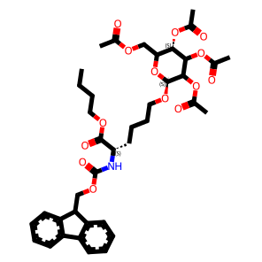 CCCCOC(=O)[C@H](CCCCO[C@H]1OC(COC(C)=O)[C@H](OC(C)=O)C(OC(C)=O)C1OC(C)=O)NC(=O)OCC1c2ccccc2-c2ccccc21